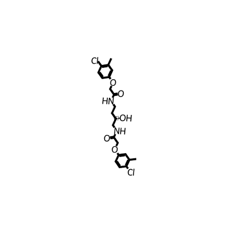 Cc1cc(OCC(=O)NCC[C@H](O)CNC(=O)COc2ccc(Cl)c(C)c2)ccc1Cl